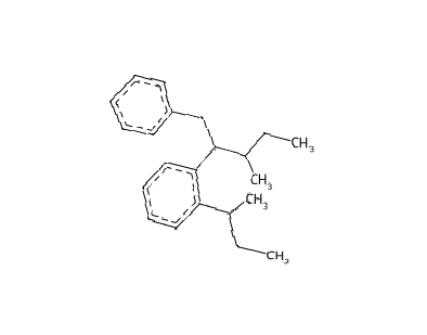 CCC(C)[C](Cc1ccccc1)c1ccccc1C(C)CC